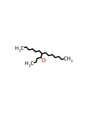 CCCCCCCC(CCCCCC)C([O])CCC